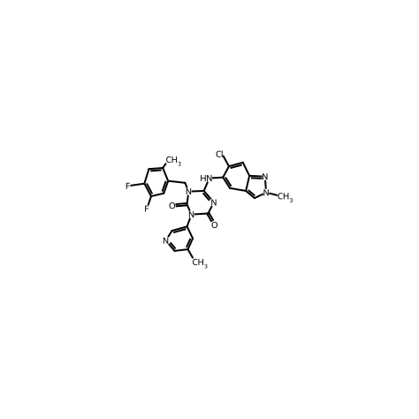 Cc1cncc(-n2c(=O)nc(Nc3cc4cn(C)nc4cc3Cl)n(Cc3cc(F)c(F)cc3C)c2=O)c1